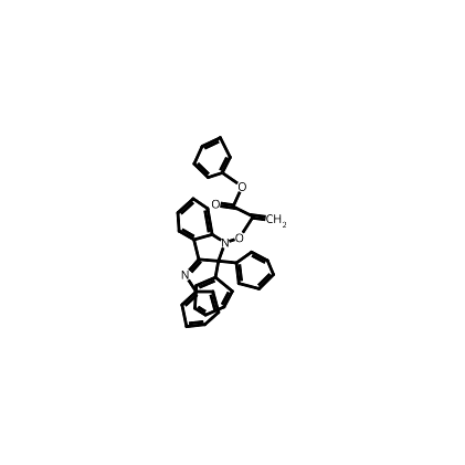 C=C(ON1c2ccccc2/C(=N/c2ccccc2)C1(c1ccccc1)c1ccccc1)C(=O)Oc1ccccc1